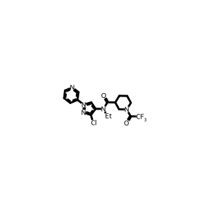 CCN(C(=O)C1CCCN(C(=O)C(F)(F)F)C1)c1cn(-c2cccnc2)nc1Cl